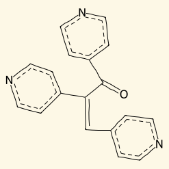 O=C(C(=Cc1ccncc1)c1ccncc1)c1ccncc1